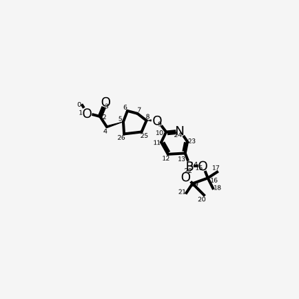 COC(=O)C[C@H]1CC[C@H](Oc2ccc(B3OC(C)(C)C(C)(C)O3)cn2)CC1